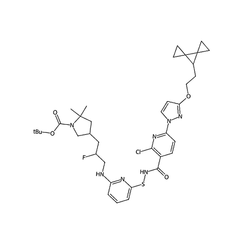 CC(C)(C)OC(=O)N1CC(CC(F)CNc2cccc(SNC(=O)c3ccc(-n4ccc(OCCC5C6(CC6)C56CC6)n4)nc3Cl)n2)CC1(C)C